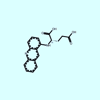 O=C(O)CC[C@H](Nc1cccc2nc3ccccc3cc12)C(=O)O